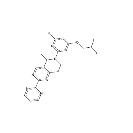 CC1c2cnc(-c3ncccn3)nc2CCN1c1cc(OCC(F)F)cc(F)n1